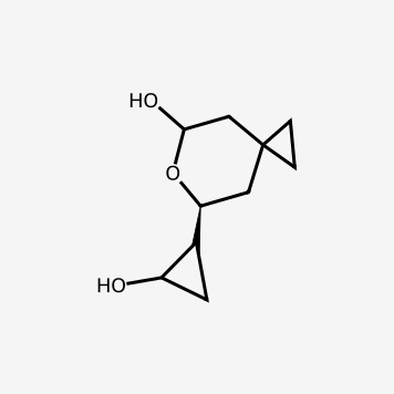 OC1CC2(CC2)C[C@@H](C2CC2O)O1